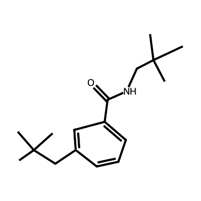 CC(C)(C)CNC(=O)c1cccc(CC(C)(C)C)c1